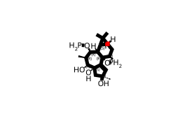 C[C@H]1[C@@H](OP)[C@H]2[C@@H]3[C@@H](C[C@@H](C)[C@]2(OP)C2=C[C@@](C)(O)C[C@@]2(O)[C@@H]1O)C3(C)C